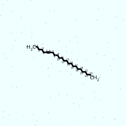 [CH2]CCCCC#CCCCCCCCCCCCCCCCCC[CH2]